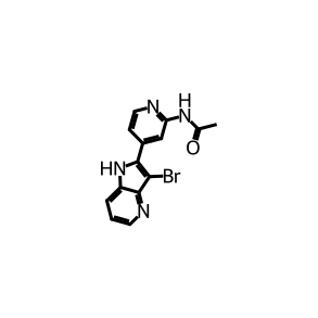 CC(=O)Nc1cc(-c2[nH]c3cccnc3c2Br)ccn1